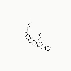 CCCCN1C(=O)[C@@H](CC2(O)CCCCC2)NC(=O)C12CCN(Cc1ccc(C(=O)NCCCOC)cc1)CC2